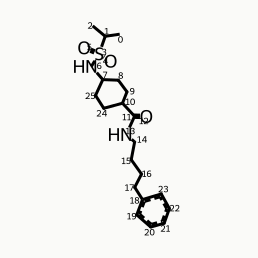 CC(C)S(=O)(=O)NC1CCC(C(=O)NCCCCc2ccccc2)CC1